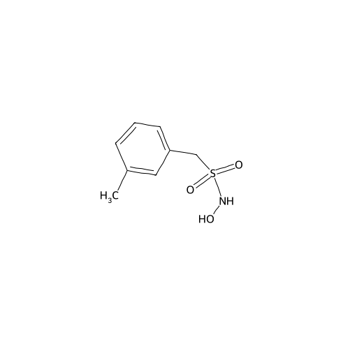 Cc1cccc(CS(=O)(=O)NO)c1